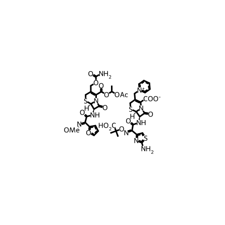 CC(C)(O/N=C(\C(=O)N[C@@H]1C(=O)N2C(C(=O)[O-])=C(C[n+]3ccccc3)CS[C@H]12)c1csc(N)n1)C(=O)O.CO/N=C(/C(=O)N[C@@H]1C(=O)N2C(C(=O)OC(C)OC(C)=O)=C(COC(N)=O)CS[C@H]12)c1ccco1